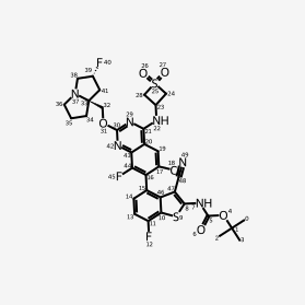 CC(C)(C)OC(=O)Nc1sc2c(F)ccc(-c3c(Cl)cc4c(NC5CS(=O)(=O)C5)nc(OC[C@@]56CCCN5C[C@H](F)C6)nc4c3F)c2c1C#N